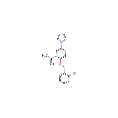 C=C(C)c1cc(-n2cccc2)ccc1OCc1ccccc1Cl